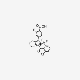 O=C(O)c1ccc(-c2cc(C(=O)c3c(Cl)cccc3C(F)(F)F)n3c2CCCC3)cc1F